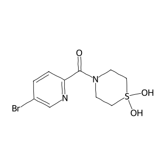 O=C(c1ccc(Br)cn1)N1CCS(O)(O)CC1